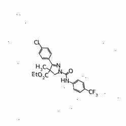 CCOC(=O)C1(C)CN(C(=O)Nc2ccc(C(F)(F)F)cc2)N=C1c1ccc(Cl)cc1